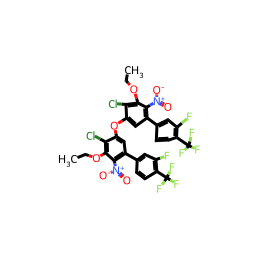 CCOc1c(Cl)c(Oc2cc(-c3ccc(C(F)(F)F)c(F)c3)c([N+](=O)[O-])c(OCC)c2Cl)cc(-c2ccc(C(F)(F)F)c(F)c2)c1[N+](=O)[O-]